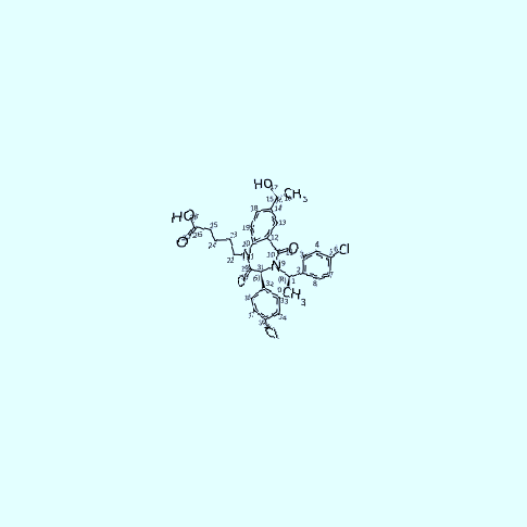 C[C@H](c1ccc(Cl)cc1)N1C(=O)c2cc([C@@H](C)O)ccc2N(CCCCC(=O)O)C(=O)[C@@H]1c1ccc(Cl)cc1